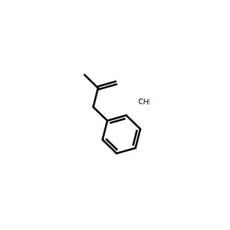 C=C(C)Cc1ccccc1.[CH]